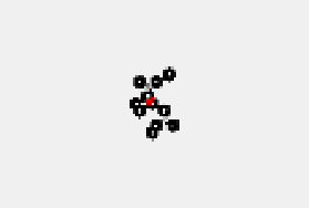 c1ccc(-c2ccc(N(c3ccccc3)c3cccc(-c4cccc5cccc(-c6cccc(-c7cccc(N(c8ccccc8)c8ccc9ccccc9c8)c7)c6)c45)c3)cc2)cc1